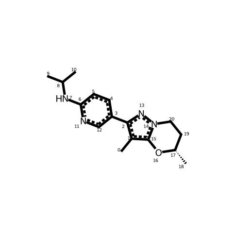 Cc1c(-c2ccc(NC(C)C)nc2)nn2c1O[C@@H](C)CC2